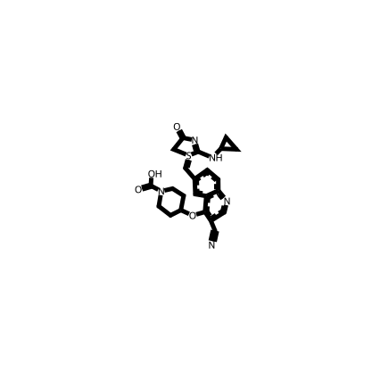 N#Cc1cnc2ccc(/C=S3/CC(=O)N=C3NC3CC3)cc2c1OC1CCN(C(=O)O)CC1